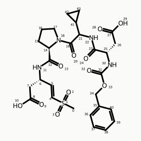 CS(=O)(=O)/C=C/[C@H](CC(=O)O)NC(=O)[C@H]1CCCN1C(=O)C(NC(=O)[C@H](CC(=O)O)NC(=O)OCc1ccccc1)C1CC1